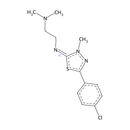 CN(C)CC/N=c1/sc(-c2ccc(Cl)cc2)nn1C